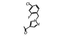 CC(=O)c1cnn(Cc2ccc(Cl)cc2F)c1